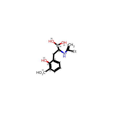 C=C(CC)NC(Cc1cccc(C(=O)O)c1O)B(O)O